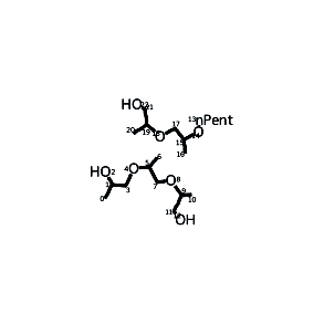 CC(O)COC(C)COC(C)CO.CCCCCOC(C)COC(C)CO